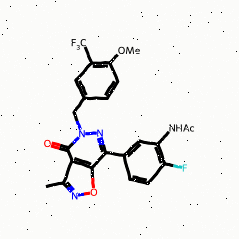 COc1ccc(Cn2nc(-c3ccc(F)c(NC(C)=O)c3)c3onc(C)c3c2=O)cc1C(F)(F)F